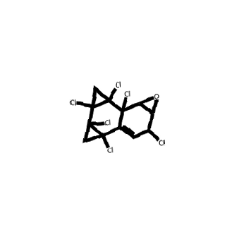 ClC1C=C2C3(Cl)CC3(Cl)C3(Cl)CC3(Cl)C2(Cl)C2OC12